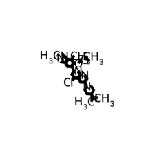 COCOc1c(-c2cc(Cl)c3cc(N4CCC(N(C)C)CC4)cnc3n2)cc2cn(C)nc2c1C